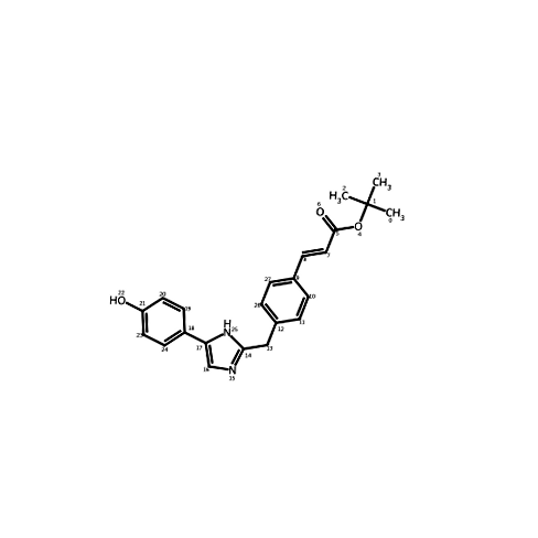 CC(C)(C)OC(=O)/C=C/c1ccc(Cc2ncc(-c3ccc(O)cc3)[nH]2)cc1